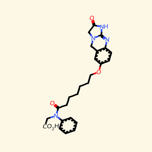 O=C(O)CN(C(=O)CCCCCCOc1ccc2c(c1)CN1CC(=O)NC1=N2)c1ccccc1